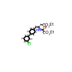 CCOC(=O)C[C@@H](Cc1ccc(-c2cccc(Cl)c2)cc1)NC(=O)C(=O)OCC